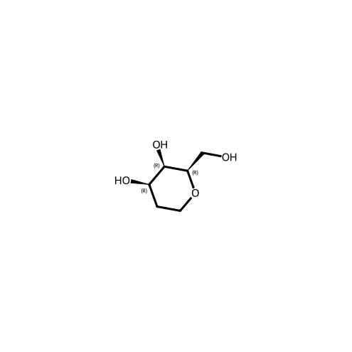 OC[C@H]1OCC[C@@H](O)[C@H]1O